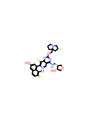 CCc1c(F)ccc2cc(O)cc(-c3ncc4c(NC[C@@H]5COC[C@@H]5O)nc(OCC56CCCN5C[C@H](F)C6)nc4c3F)c12